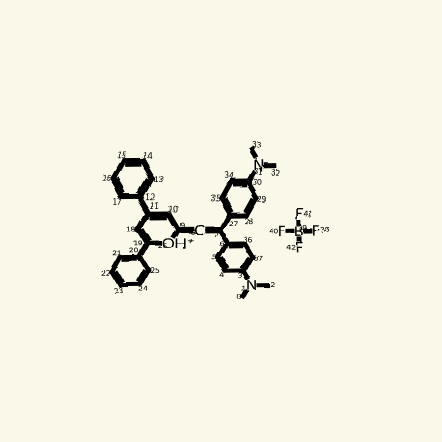 CN(C)c1ccc(C(=C=C2C=C(c3ccccc3)C=C(c3ccccc3)[OH+]2)c2ccc(N(C)C)cc2)cc1.F[B-](F)(F)F